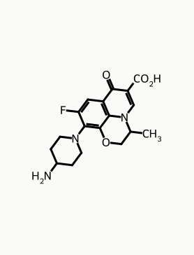 CC1COc2c(N3CCC(N)CC3)c(F)cc3c(=O)c(C(=O)O)cn1c23